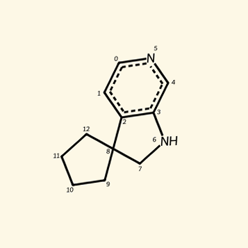 c1cc2c(cn1)NCC21CCCC1